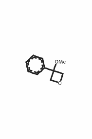 COC1(c2c[c]ccc2)COC1